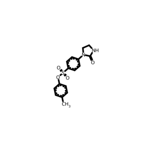 Cc1ccc(OS(=O)(=O)c2ccc(N3CCNC3=O)cc2)cc1